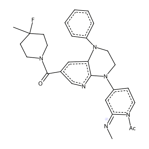 C/N=c1/cc(N2CCN(c3ccccc3)c3cc(C(=O)N4CCC(C)(F)CC4)cnc32)ccn1C(C)=O